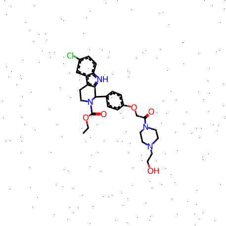 CCOC(=O)N1CCc2c([nH]c3ccc(Cl)cc23)C1c1ccc(OCC(=O)N2CCN(CCO)CC2)cc1